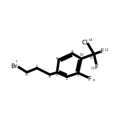 Fc1cc(CCCBr)ccc1C(F)(F)Cl